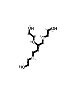 OCCOCCC(COCCO)OCCO